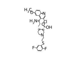 COc1ccc2ncc(Cl)c([C@@H](N)CC[C@H]3CCN(CCSc4cc(F)ccc4F)C[C@H]3C(=O)O)c2c1